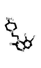 NC1CCN(CCn2c(=O)cnc3ccc(F)c(F)c32)CC1